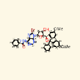 COc1ccc(C(OC[C@H]2O[C@@H](n3c(Br)nc4c(NC(=O)c5ccccc5)ncnc43)C[C@@H]2O)(c2ccccc2)c2ccc(OC)cc2)cc1